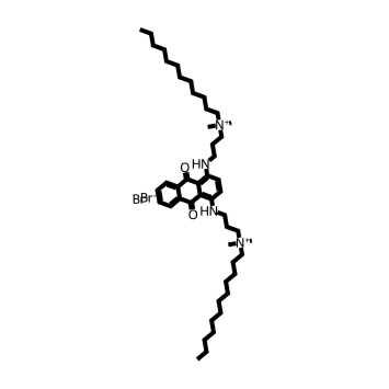 CCCCCCCCCCCC[N+](C)(C)CCCNc1ccc(NCCC[N+](C)(C)CCCCCCCCCCCC)c2c1C(=O)c1ccccc1C2=O.[Br-].[Br-]